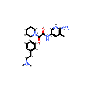 Cc1cc(NC(=O)C(=O)N2CCCC[C@H]2c2ccc(CCN(C)C)cc2)cnc1N